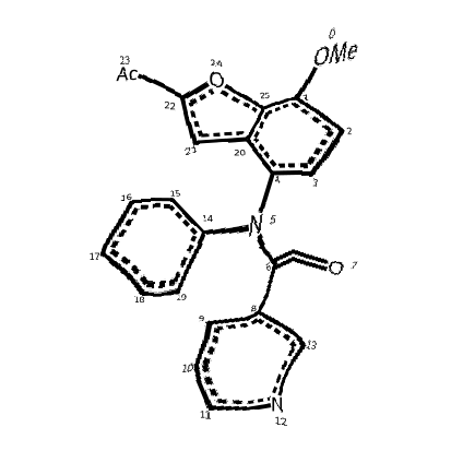 COc1ccc(N(C(=O)c2cccnc2)c2ccccc2)c2cc(C(C)=O)oc12